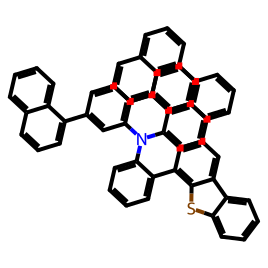 c1ccc(-c2ccc(-c3cccc4ccccc34)cc2N(c2ccccc2-c2cccc3c2sc2ccccc23)c2ccccc2-c2cccc3cccc(-c4ccccc4)c23)cc1